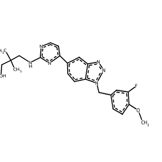 COc1ccc(Cn2nnc3cc(-c4ccnc(NCC(C)(C)CO)n4)ccc32)cc1F